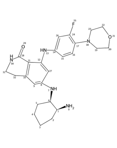 N[C@H]1CCCC[C@H]1Nc1cc2c(c(Nc3ccc(N4CCOCC4)c(F)c3)c1)C(=O)NCC2